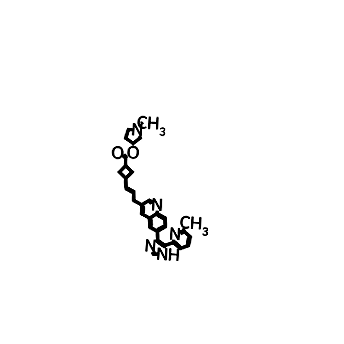 Cc1cccc(-c2[nH]cnc2-c2ccc3ncc(C/C=C/C4CC(C(=O)O[C@@H]5CCN(C)C5)C4)cc3c2)n1